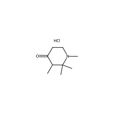 CC1C(=O)CCN(C)C1(C)C.Cl